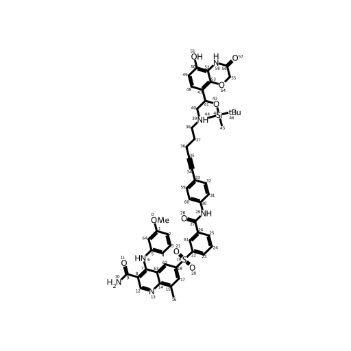 COc1cccc(Nc2c(C(N)=O)cnc3c(C)cc(S(=O)(=O)c4cccc(C(=O)Nc5ccc(C#CCCCNCC(O[Si](C)(C)C(C)(C)C)c6ccc(O)c7c6OCC(=O)N7)cc5)c4)cc23)c1